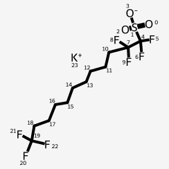 O=S(=O)([O-])C(F)(F)C(F)(F)CCCCCCCCCC(F)(F)F.[K+]